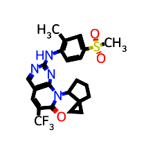 Cc1cc(S(C)(=O)=O)ccc1Nc1ncc2cc(C(F)(F)F)c(=O)n(C3CCCC34CC4)c2n1